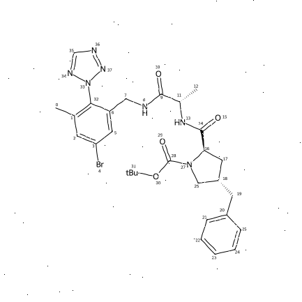 Cc1cc(Br)cc(CNC(=O)[C@H](C)NC(=O)[C@H]2C[C@H](Cc3ccccc3)CN2C(=O)OC(C)(C)C)c1-n1ncnn1